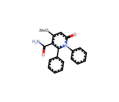 COc1cc(=O)n(-c2ccccc2)c(-c2ccccc2)c1C(N)=O